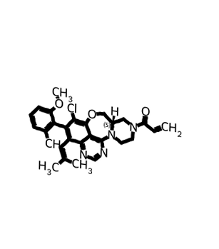 C=CC(=O)N1CCN2c3ncnc4c(C=C(C)C)c(-c5c(C)cccc5OC)c(Cl)c(c34)OC[C@@H]2C1